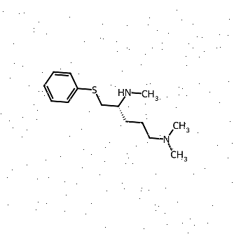 CN[C@H](CCCN(C)C)CSc1ccccc1